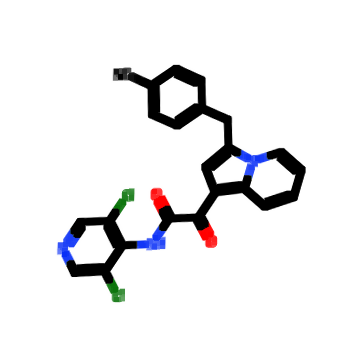 N#Cc1ccc(Cc2cc(C(=O)C(=O)Nc3c(Cl)cncc3Cl)c3ccccn23)cc1